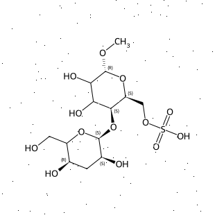 CO[C@@H]1O[C@@H](COS(=O)(=O)O)[C@@H](O[C@@H]2OC(CO)[C@H](O)C[C@@H]2O)C(O)C1O